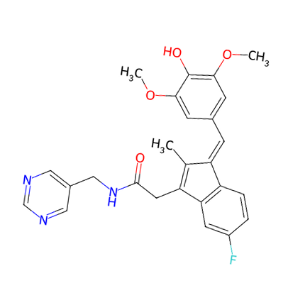 COc1cc(C=C2C(C)=C(CC(=O)NCc3cncnc3)c3cc(F)ccc32)cc(OC)c1O